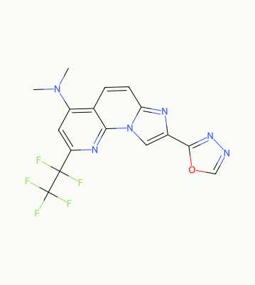 CN(C)c1cc(C(F)(F)C(F)(F)F)nc2c1ccc1nc(-c3nnco3)cn12